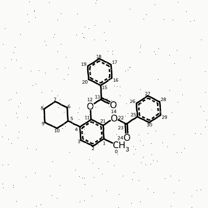 Cc1ccc(C2CCCCC2)c(OC(=O)c2ccccc2)c1OC(=O)c1ccccc1